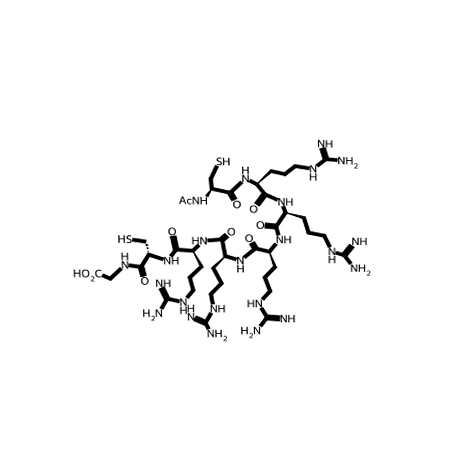 CC(=O)N[C@@H](CS)C(=O)N[C@@H](CCCNC(=N)N)C(=O)N[C@@H](CCCNC(=N)N)C(=O)N[C@@H](CCCNC(=N)N)C(=O)N[C@@H](CCCNC(=N)N)C(=O)N[C@@H](CCCNC(=N)N)C(=O)N[C@@H](CS)C(=O)NCC(=O)O